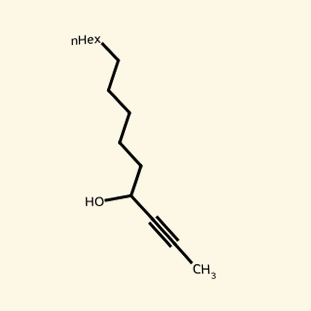 CC#CC(O)CCCCCCCCCCC